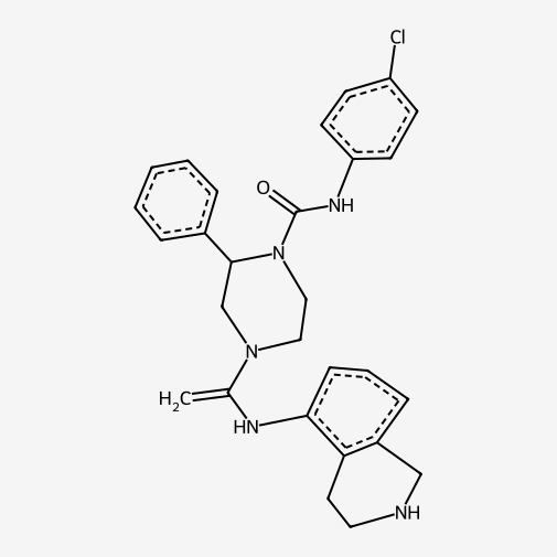 C=C(Nc1cccc2c1CCNC2)N1CCN(C(=O)Nc2ccc(Cl)cc2)C(c2ccccc2)C1